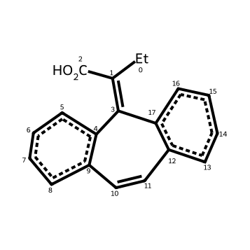 CCC(C(=O)O)=C1c2ccccc2C=Cc2ccccc21